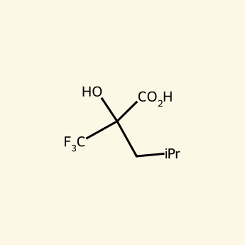 CC(C)CC(O)(C(=O)O)C(F)(F)F